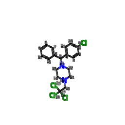 Clc1ccc(C(c2ccccc2)N2CCN(CC(Cl)(Cl)Cl)CC2)cc1